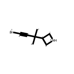 CC(C)(C#CBr)C1CNC1